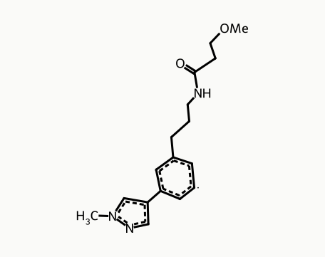 COCCC(=O)NCCCc1c[c]cc(-c2cnn(C)c2)c1